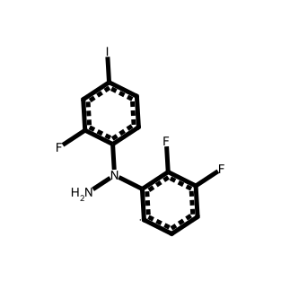 NN(c1[c]ccc(F)c1F)c1ccc(I)cc1F